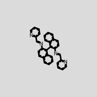 C(=N\c1ccc2ccccc2c1-c1c(/N=C/c2ccccn2)ccc2ccccc12)/c1ccccn1